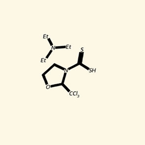 CCN(CC)CC.S=C(S)N1CCOC1C(Cl)(Cl)Cl